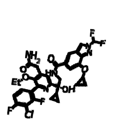 CCOc1c(CC(N)=O)cc([C@@](O)(CNC(=O)c2cc(OC3CC3)c3nn(C(F)F)cc3c2)C2CC2)nc1-c1ccc(F)c(Cl)c1F